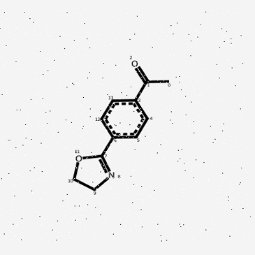 CC(=O)c1ccc(C2=NCCO2)cc1